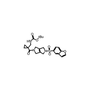 CC(C)(C)OC(=O)NCC1(C(=O)N2CC3=C(C2)CN(S(=O)(=O)c2ccc4occc4c2)C3)CC1